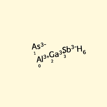 [Al+3].[As-3].[Ga+3].[SbH6-3]